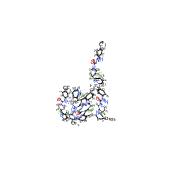 COc1cccnc1C1(F)CCN(C(=O)Nc2ccc(C(F)(F)F)cc2)CC1.Cc1cccnc1C1(F)CC[N+](c2ccc(C(F)(F)F)cc2)(C2CC(F)(c3ncccc3C)CCN2C(=O)Nc2ccc(C(F)(F)F)cn2)CC1.O=C(Nc1ccc(C(F)(F)F)cc1)N1CCC(F)(c2ncccc2Cl)CC1.O=C(Nc1ccc(C(F)(F)F)cc1)N1CCC(F)(c2ncccc2F)CC1